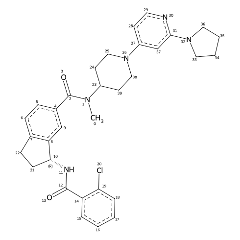 CN(C(=O)c1ccc2c(c1)[C@H](NC(=O)c1ccccc1Cl)CC2)C1CCN(c2ccnc(N3CCCC3)c2)CC1